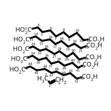 C=CC.O=C(O)CCCCCCCCC(=O)O.O=C(O)CCCCCCCCC(=O)O.O=C(O)CCCCCCCCC(=O)O.O=C(O)CCCCCCCCC(=O)O.O=C(O)CCCCCCCCC(=O)O